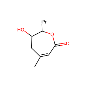 CC1=CC(=O)OC(C(C)C)C(O)C1